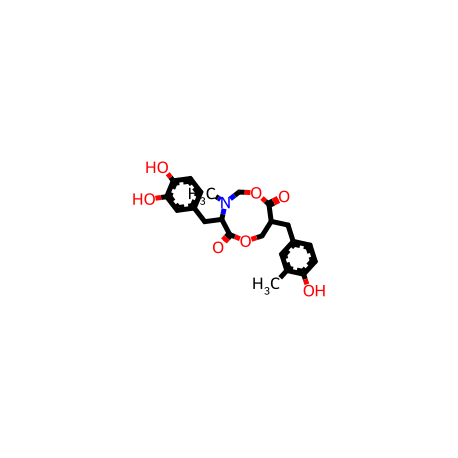 Cc1cc(CC2COC(=O)C(Cc3ccc(O)c(O)c3)N(C)COC2=O)ccc1O